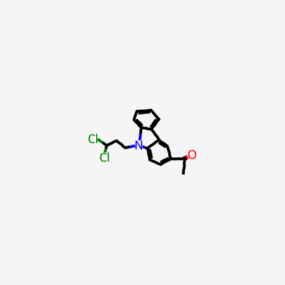 CC(=O)c1ccc2c(c1)c1ccccc1n2CCC(Cl)Cl